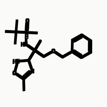 CC1=NC(C(C)(COCc2ccccc2)N[SH](C)(=O)C(C)(C)C)NO1